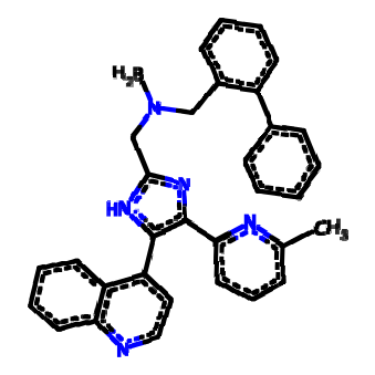 BN(Cc1nc(-c2cccc(C)n2)c(-c2ccnc3ccccc23)[nH]1)Cc1ccccc1-c1ccccc1